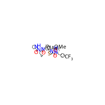 COC(=O)[C@@H](C)C[C@H](Cc1ccc(C(F)(F)F)cc1)NC(=O)c1csc([C@@H](C[C@H](C(C)C)N(C)C(=O)[C@@H](NC(=O)[C@H]2CCCCN2C)[C@@H](C)C2CC2)OC(C)=O)n1